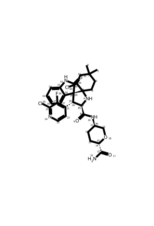 CC1(C)CCC2(N[C@@H](C(=O)N[C@@H]3CC[C@@H](C(N)=O)OC3)[C@H](c3ccnc(Cl)c3F)[C@]23C(=O)Nc2ccccc23)C(Cl)C1